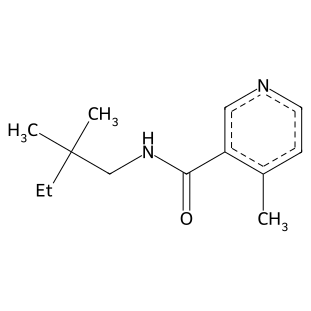 CCC(C)(C)CNC(=O)c1cnccc1C